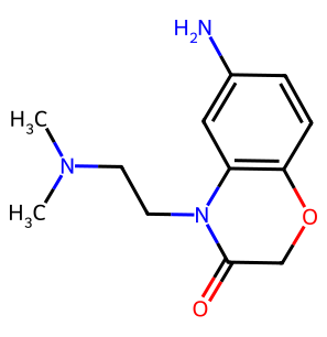 CN(C)CCN1C(=O)COc2ccc(N)cc21